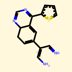 N=C/C(=C\N)C1=CCC2N=CN=C(c3cccs3)C2=C1